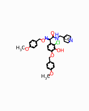 COc1ccc(CO/N=C(/C(=O)NCC23CCN(CC2)CC3)c2ccc(OCc3ccc(OC)cc3)c(O)c2Cl)cc1